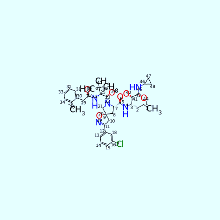 CCC[C@H](NC(=O)[C@@H]1C[C@]2(CC(c3cccc(Cl)c3)=NO2)CN1C(=O)[C@@H](NC(=O)Cc1ccccc1C)C(C)(C)C)C(=O)C(=O)NC1CC1